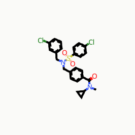 CN(C(=O)c1ccc(CN(Cc2cccc(Cl)c2)S(=O)(=O)c2ccc(Cl)cc2)cc1)C1CC1